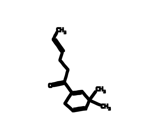 CC=CCCC(=O)C1=CC(C)(C)C=CC1